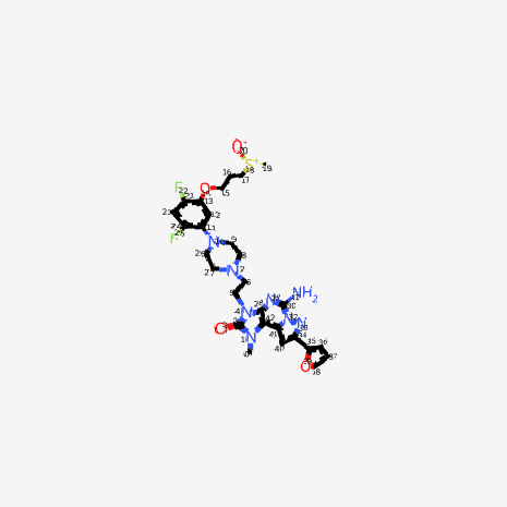 Cn1c(=O)n(CCN2CCN(c3cc(OCCC[S@+](C)[O-])c(F)cc3F)CC2)c2nc(N)n3nc(-c4ccco4)cc3c21